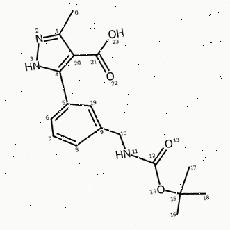 Cc1n[nH]c(-c2cccc(CNC(=O)OC(C)(C)C)c2)c1C(=O)O